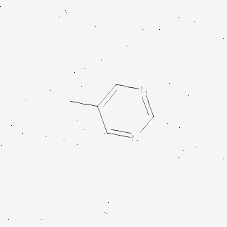 Cc1cn[c]nc1